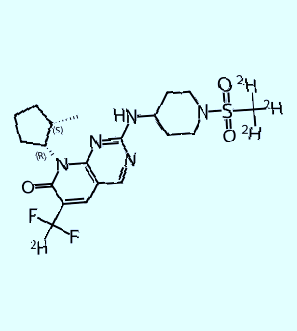 [2H]C(F)(F)c1cc2cnc(NC3CCN(S(=O)(=O)C([2H])([2H])[2H])CC3)nc2n([C@@H]2CCC[C@@H]2C)c1=O